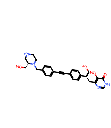 O=c1[nH]cnc(C[C@H](CO)c2ccc(C#Cc3ccc(CN4CCNC[C@H]4CO)cc3)cc2)c1O